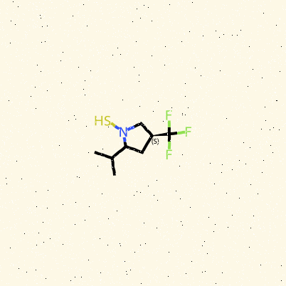 CC(C)C1C[C@H](C(F)(F)F)CN1S